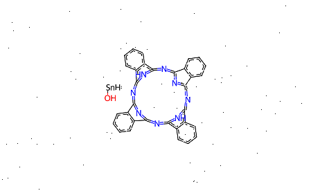 [OH][SnH].c1ccc2c(c1)-c1nc-2nc2[nH]c(nc3nc(nc4[nH]c(n1)c1ccccc41)-c1ccccc1-3)c1ccccc21